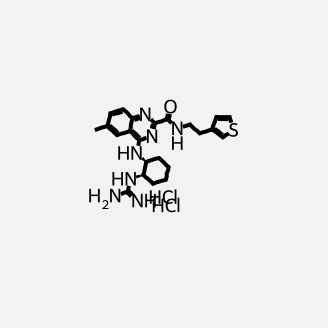 Cc1ccc2nc(C(=O)NCCc3ccsc3)nc(N[C@H]3CCCC[C@H]3NC(=N)N)c2c1.Cl.Cl